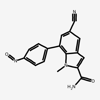 Cn1c(C(N)=O)cc2cc(C#N)cc(-c3ccc(N=O)cc3)c21